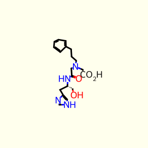 O=C(O)CN(CCCc1ccccc1)CC(=O)N[C@H](CO)Cc1c[nH]cn1